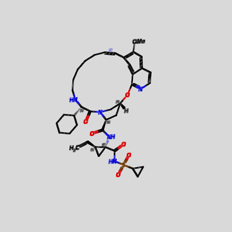 C=C[C@@H]1C[C@]1(NC(=O)[C@@H]1C[C@@H]2CN1C(=O)[C@H](C1CCCCC1)NCCCCC/C=C\c1cc3c(nccc3cc1OC)O2)C(=O)NS(=O)(=O)C1CC1